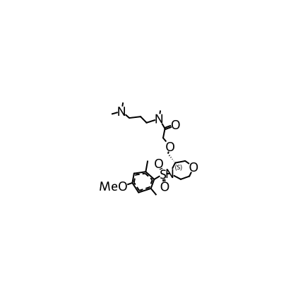 COc1cc(C)c(S(=O)(=O)N2CCOC[C@H]2COCC(=O)N(C)CCCN(C)C)c(C)c1